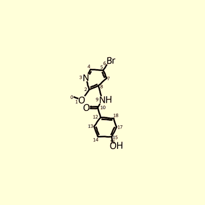 COc1ncc(Br)cc1NC(=O)c1ccc(O)cc1